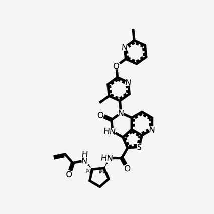 C=CC(=O)N[C@H]1CCC[C@H]1NC(=O)c1sc2nccc3c2c1NC(=O)N3c1cnc(Oc2cccc(C)n2)cc1C